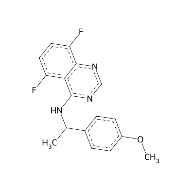 COc1ccc(C(C)Nc2ncnc3c(F)ccc(F)c23)cc1